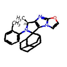 Cc1ccccc1N1[C@@H](C)c2nc3occn3c2C12C1CC3CC(C1)CC2C3